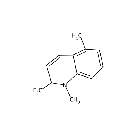 Cc1cccc2c1C=CC(C(F)(F)F)N2C